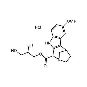 COc1ccc2[nH]c3c(c2c1)C1CCN(C1)C3C(=O)OCC(O)CO.Cl